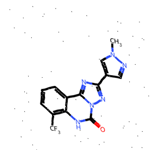 Cn1cc(-c2nc3c4cccc(C(F)(F)F)c4[nH]c(=O)n3n2)cn1